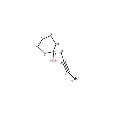 CC(C)C#CCC1([O])CCCCC1